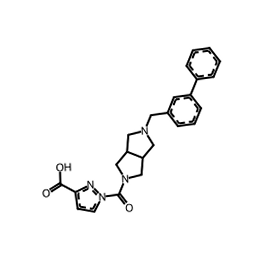 O=C(O)c1ccn(C(=O)N2CC3CN(Cc4cccc(-c5ccccc5)c4)CC3C2)n1